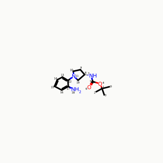 CC(C)(C)OC(=O)N[C@H]1CCN(c2ccccc2N)C1